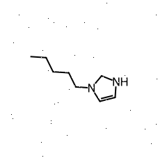 CCCCCN1C=CNC1